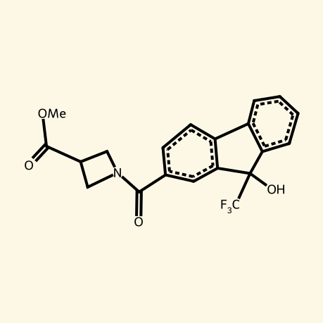 COC(=O)C1CN(C(=O)c2ccc3c(c2)C(O)(C(F)(F)F)c2ccccc2-3)C1